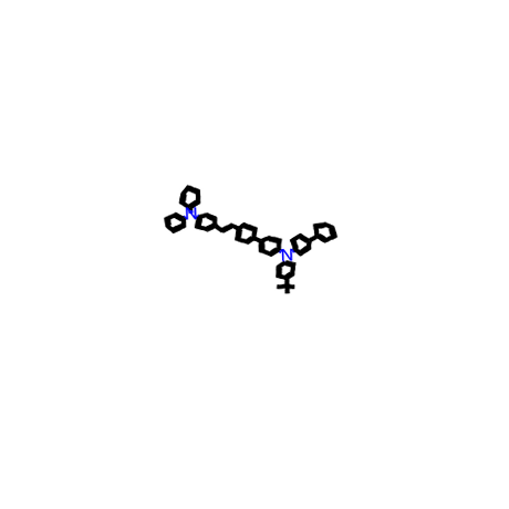 CC(C)(C)c1ccc(N(c2ccc(-c3ccccc3)cc2)c2ccc(-c3ccc(/C=C/c4ccc(N(c5ccccc5)c5ccccc5)cc4)cc3)cc2)cc1